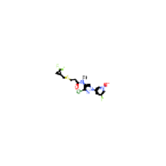 CCN(C(=O)CCSCC1CC1(F)F)c1cn(-c2cc(F)c[n+]([O-])c2)nc1Cl